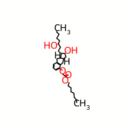 CCCCCCCCOC(=O)COc1cccc2c1C[C@H]1C[C@@H](O)[C@H](CC[C@@H](O)CCCCC)[C@H]1C2